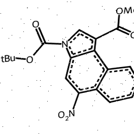 COC(=O)c1cn(C(=O)OC(C)(C)C)c2cc([N+](=O)[O-])c3ccccc3c12